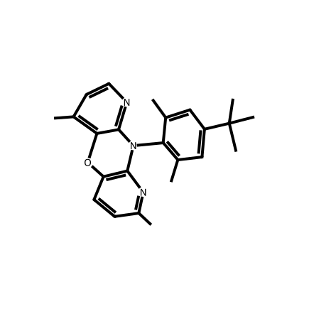 Cc1ccc2c(n1)N(c1c(C)cc(C(C)(C)C)cc1C)c1nccc(C)c1O2